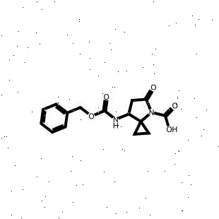 O=C(NC1CC(=O)N(C(=O)O)C12CC2)OCc1ccccc1